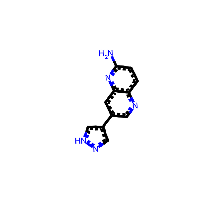 Nc1ccc2ncc(-c3cn[nH]c3)cc2n1